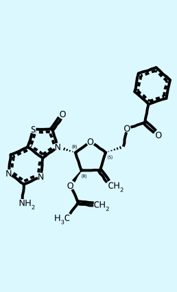 C=C(C)O[C@@H]1C(=C)[C@@H](COC(=O)c2ccccc2)O[C@H]1n1c(=O)sc2cnc(N)nc21